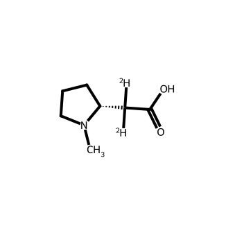 [2H]C([2H])(C(=O)O)[C@H]1CCCN1C